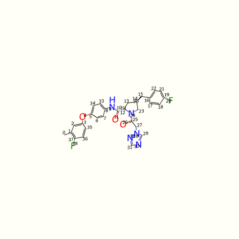 Cc1cc(Oc2ccc(NC(=O)[C@@H]3C[C@@H](Cc4ccc(F)cc4)CN3C(=O)Cn3cncn3)cc2)ccc1F